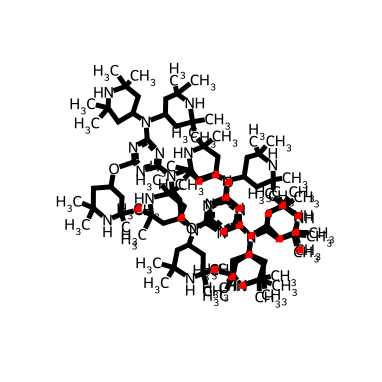 CC1(C)CC(Oc2nc(N(CCCN(c3nc(OC4CC(C)(C)NC(C)(C)C4)nc(N(C4CC(C)(C)NC(C)(C)C4)C4CC(C)(C)NC(C)(C)C4)n3)C3CC(C)(C)NC(C)(C)C3)CCCN(c3nc(OC4CC(C)(C)NC(C)(C)C4)nc(N(C4CC(C)(C)NC(C)(C)C4)C4CC(C)(C)NC(C)(C)C4)n3)C3CC(C)(C)NC(C)(C)C3)nc(N(C3CC(C)(C)NC(C)(C)C3)C3CC(C)(C)NC(C)(C)C3)n2)CC(C)(C)N1